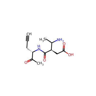 C#CC[C@H](NC(=O)[C@H](CC(=O)O)C(N)[SiH3])C(C)=O